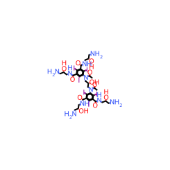 CC(=O)N(CC(O)CN(C(C)=O)c1c(I)c(C(=O)NCC(O)CN)c(I)c(C(=O)NCC(O)CN)c1I)c1c(I)c(C(=O)NCC(O)CN)c(I)c(C(=O)NCC(O)CN)c1I